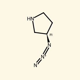 [N-]=[N+]=N[C@@H]1CCNC1